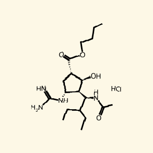 CCCCOC(=O)[C@H]1C[C@@H](NC(=N)N)[C@H]([C@@H](NC(C)=O)C(CC)CC)[C@@H]1O.Cl